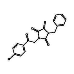 O=C(CN1C(=O)C(=O)N(Cc2ccccc2)C1=O)c1ccc(Br)cc1